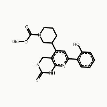 CC(C)(C)OC(=O)N1CCCC(c2cc(-c3ccccc3O)nc3c2CNC(=S)N3)C1